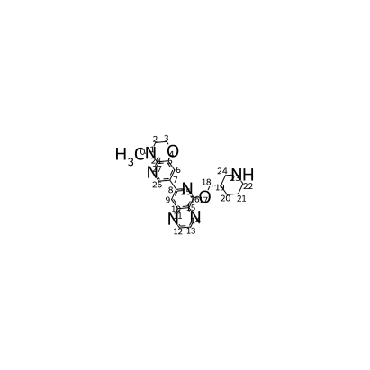 CN1CCOc2cc(-c3cc4nccnc4c(OC[C@H]4CCCNC4)n3)cnc21